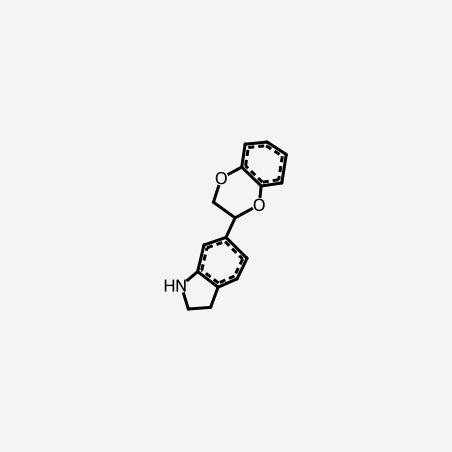 c1ccc2c(c1)OCC(c1ccc3c(c1)NCC3)O2